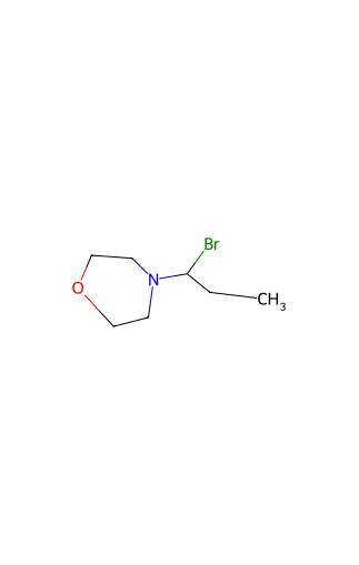 CCC(Br)N1CCOCC1